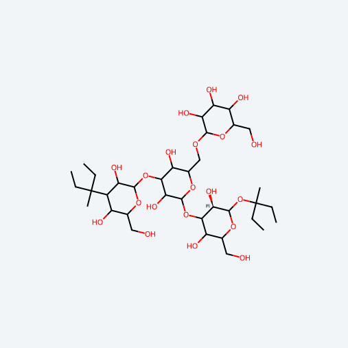 CCC(C)(CC)OC1OC(CO)C(O)C(OC2OC(COC3OC(CO)C(O)C(O)C3O)C(O)C(OC3OC(CO)C(O)C(C(C)(CC)CC)C3O)C2O)[C@H]1O